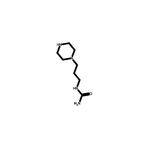 NC(=O)NCCCN1CCNCC1